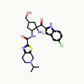 CC(C)N1CCc2nc(C(=O)NC3CC(CO)CC3(N)C(=O)c3cc4cc(Cl)ccc4[nH]3)sc2C1